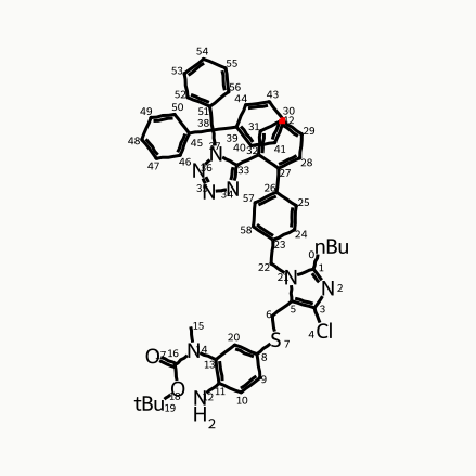 CCCCc1nc(Cl)c(CSc2ccc(N)c(N(C)C(=O)OC(C)(C)C)c2)n1Cc1ccc(-c2ccccc2-c2nnnn2C(c2ccccc2)(c2ccccc2)c2ccccc2)cc1